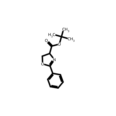 CC(C)(C)OC(=O)C1COC(c2ccccc2)=N1